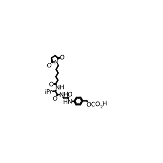 CC(C)C(NC(=O)CCCCCN1C(=O)CCC1=O)C(=O)NCC(=O)Nc1ccc(COC(=O)O)cc1